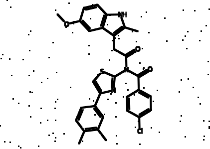 COc1ccc2[nH]c(C)c(CC(=O)N(C(=O)c3ccc(Cl)cc3)c3nc(-c4ccc(C)c(C)c4)cs3)c2c1